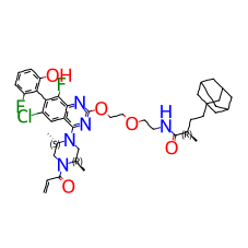 C=CC(=O)N1C[C@H](C)N(c2nc(OCCOCCNC(=O)[C@H](C)CCC34CC5CC(CC(C5)C3)C4)nc3c(F)c(-c4c(O)cccc4F)c(Cl)cc23)C[C@H]1C